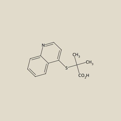 CC(C)(Sc1ccnc2ccccc12)C(=O)O